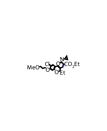 CCOC(=O)/C(=C/C1=Cc2cc(Cl)c(OCCCOC)cc2OC1CC)C(=O)N(C)C1CC1